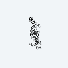 Cn1c(-c2cn(-c3ncccn3)nc2C(F)(F)F)cnc1C(=O)Nc1ccc(C(=O)NC2[C@H]3CN(C(=O)[C@H]4C[C@H](O)C[N+]4(C)C)C[C@@H]23)c(Cl)c1.O=C[O-]